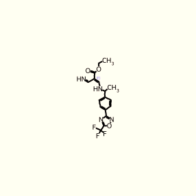 CCOC(=O)/C(C=N)=C/NC(C)c1ccc(-c2noc(C(F)(F)F)n2)cc1